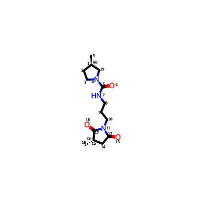 C[C@@H]1CCN(C(=O)NCCCN2C(=O)C[C@H](C)C2=O)C1